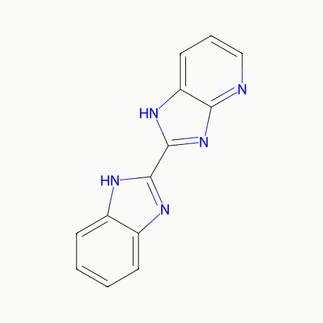 c1ccc2[nH]c(-c3nc4ncccc4[nH]3)nc2c1